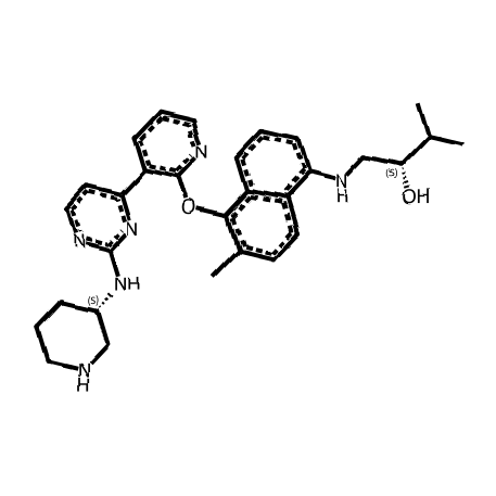 Cc1ccc2c(NC[C@@H](O)C(C)C)cccc2c1Oc1ncccc1-c1ccnc(N[C@H]2CCCNC2)n1